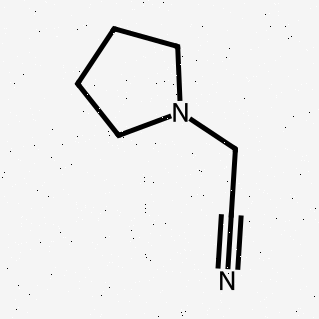 N#CCN1CCCC1